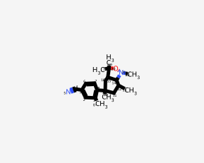 Cc1cc(C#N)ccc1C1(C)CC(C)C2C(C1)C(C)(C)ON2C